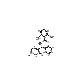 CC1CC=C(C(NC(=O)c2c(N)cccc2Cl)c2ccccc2)N(C)C1